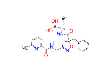 CC(C)C[C@H](NC(=O)C1(Cc2ccccc2)CC(CNC(=O)c2cccc(C#N)n2)=NO1)B(O)O